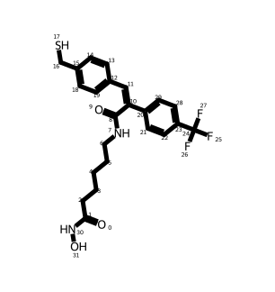 O=C(CCCCCNC(=O)C(=Cc1ccc(CS)cc1)c1ccc(C(F)(F)F)cc1)NO